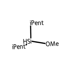 CCCC(C)[SiH](OC)C(C)CCC